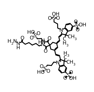 CC1(C)C(/C=C/C2=CC(=C/C=C3/N(CCCS(=O)(=O)O)c4ccc(S(=O)(=O)O)cc4C3(C)C)/CC(C(=O)NCCCCCC(=O)NN)(C(=O)NCCS(=O)(=O)O)C2)=[N+](CCCS(=O)(=O)O)c2ccc(S(=O)(=O)O)cc21